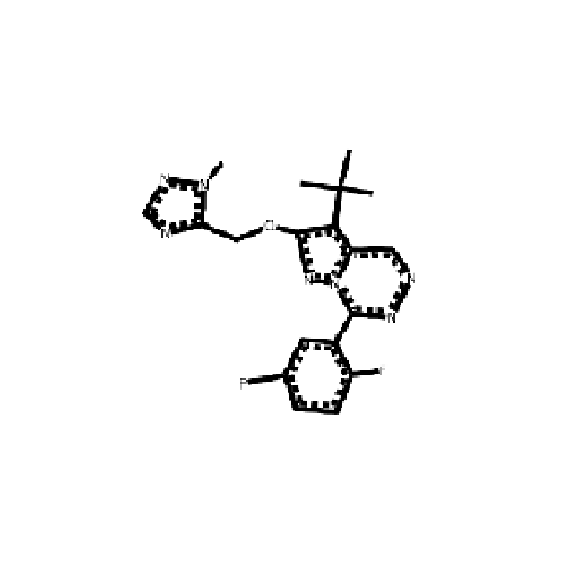 Cn1ncnc1COc1nn2c(-c3cc(F)ccc3F)nncc2c1C(C)(C)C